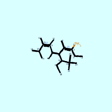 CC/C(P)=C(/C)C(C(C)/C(C)=C(/C)C(C)C)C(CC)C(C)(C)C